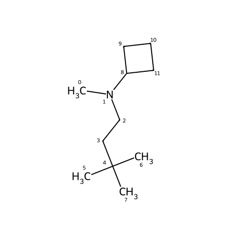 CN(CCC(C)(C)C)C1CCC1